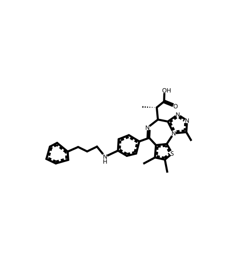 Cc1sc2c(c1C)C(c1ccc(NCCCc3ccccc3)cc1)=NC([C@H](C)C(=O)O)c1nnc(C)n1-2